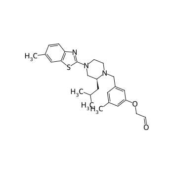 Cc1cc(CN2CCN(c3nc4ccc(C)cc4s3)C[C@@H]2CC(C)C)cc(OCC=O)c1